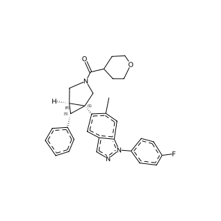 Cc1cc2c(cnn2-c2ccc(F)cc2)cc1[C@@]12CN(C(=O)C3CCOCC3)C[C@@H]1[C@H]2c1ccccc1